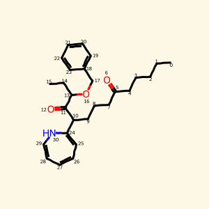 CCCCCC(=O)CCCC(C(=O)C(CC)OCc1ccccc1)C1=CC=CC=CN1